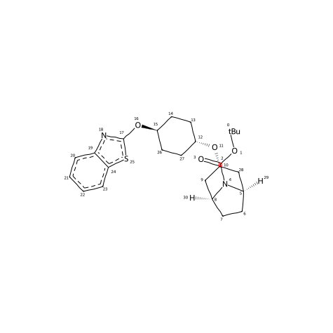 CC(C)(C)OC(=O)N1[C@@H]2CC[C@H]1C[C@H](O[C@H]1CC[C@H](Oc3nc4ccccc4s3)CC1)C2